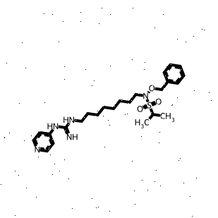 CC(C)S(=O)(=O)N(CCCCCCCCNC(=N)Nc1ccncc1)OCc1ccccc1